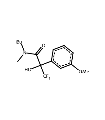 CCC(C)N(C)C(=O)C(O)(c1cccc(OC)c1)C(F)(F)F